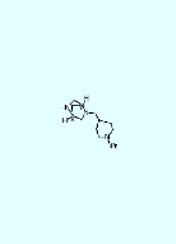 CC(C)N1CCC(CN2C[C@H]3C[C@@H]2CN3C)CC1